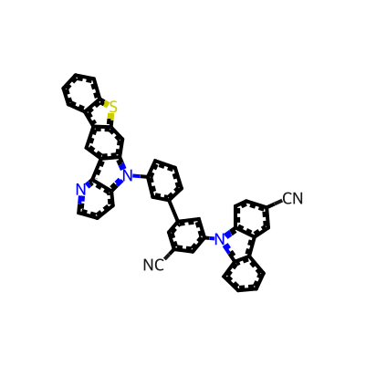 N#Cc1cc(-c2cccc(-n3c4cc5sc6ccccc6c5cc4c4ncccc43)c2)cc(-n2c3ccccc3c3cc(C#N)ccc32)c1